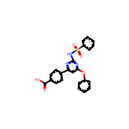 O=C(O)c1ccc(-c2cc(Oc3ccccc3)nc(NS(=O)(=O)c3ccccc3)n2)cc1